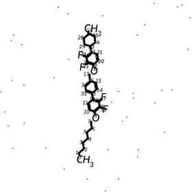 CCCCCCCCOc1ccc(-c2ccc(COc3ccc(C4CCC(C)CC4)c(F)c3F)cc2)c(F)c1F